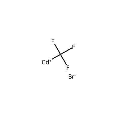 F[C](F)(F)[Cd+].[Br-]